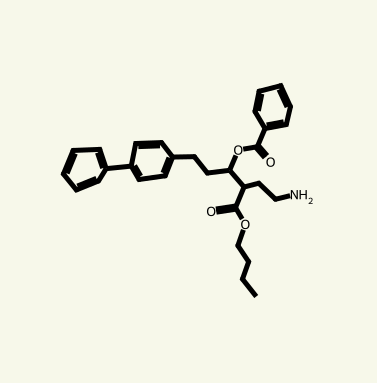 CCCCOC(=O)C(CCN)C(CCc1ccc(-c2ccccc2)cc1)OC(=O)c1ccccc1